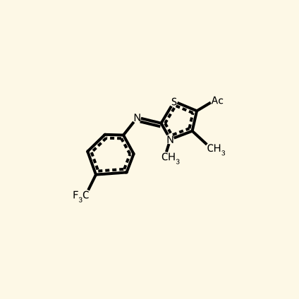 CC(=O)c1sc(=Nc2ccc(C(F)(F)F)cc2)n(C)c1C